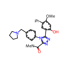 CNC(=O)c1nnc(-c2cc(C(C)C)c(OC)cc2O)n1-c1ccc(CN2CCCC2)cc1